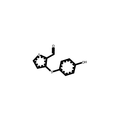 O=Cc1sccc1Sc1ccc(O)cc1